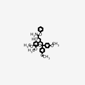 COc1ccc(C(O)(CC(C[C@H](O)C(N)Oc2ccccc2)c2ccc(OC)c(OC)c2)c2ccc(OC)cc2)cc1